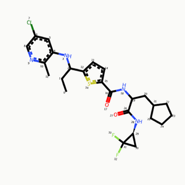 CCC(Nc1cc(Cl)cnc1C)c1ccc(C(=O)NC(CC2CCCC2)C(=O)N[C@H]2CC2(F)F)s1